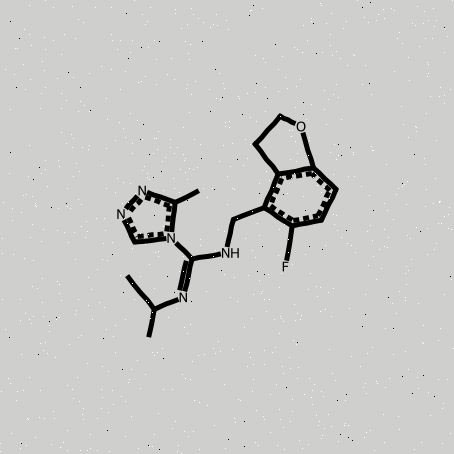 Cc1nncn1/C(=N\C(C)C)NCc1c(F)ccc2c1CCO2